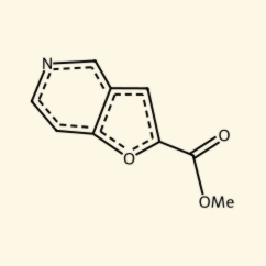 COC(=O)c1cc2cnccc2o1